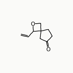 C=CC1OCC12CCC(=O)C2